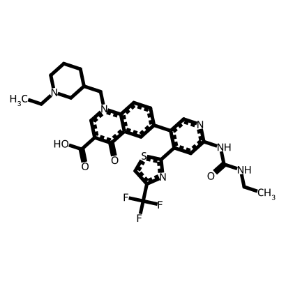 CCNC(=O)Nc1cc(-c2nc(C(F)(F)F)cs2)c(-c2ccc3c(c2)c(=O)c(C(=O)O)cn3CC2CCCN(CC)C2)cn1